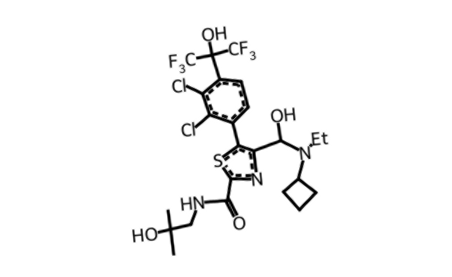 CCN(C1CCC1)C(O)c1nc(C(=O)NCC(C)(C)O)sc1-c1ccc(C(O)(C(F)(F)F)C(F)(F)F)c(Cl)c1Cl